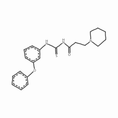 O=C(CCN1CCCCC1)NC(=S)Nc1cccc(Oc2ccccc2)c1